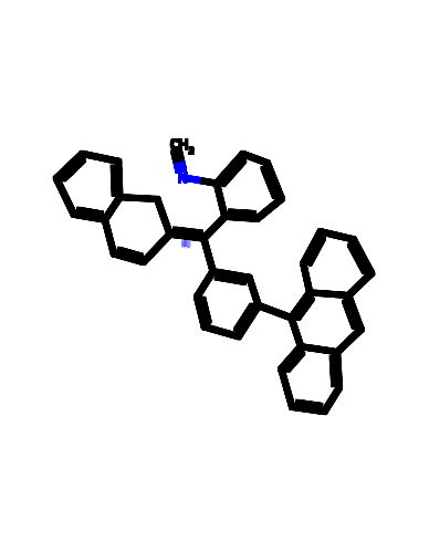 C=Nc1ccccc1/C(=C1/C=Cc2ccccc2C1)c1cccc(-c2c3ccccc3cc3ccccc23)c1